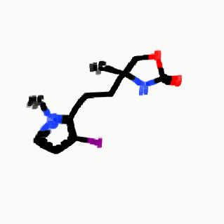 Cn1ccc(I)c1CC[C@]1(C)COC(=O)N1